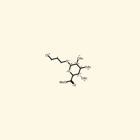 COC(=O)C1O[C@@H](OCCCCl)[C@@H](OC(C)=O)C(OC(C)=O)[C@@H]1OC(C)=O